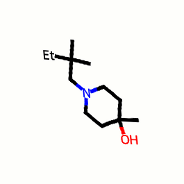 CCC(C)(C)CN1CCC(C)(O)CC1